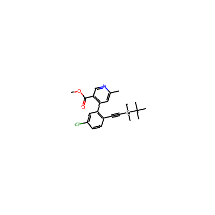 COC(=O)c1cnc(C)cc1-c1cc(Cl)ccc1C#C[Si](C)(C)C(C)(C)C